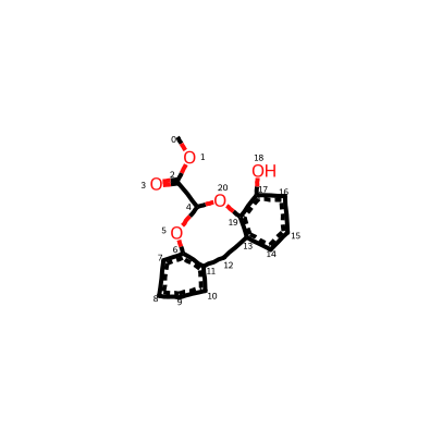 COC(=O)C1Oc2ccccc2Cc2cccc(O)c2O1